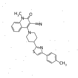 Cc1ccc(-c2csc(C3CCN(c4c(C#N)c(=O)n(C)c5ccccc45)CC3)n2)cc1